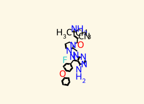 CC(C)(N)C=C(C#N)C(=O)N1CC=CN=C1Cn1nc(-c2ccc(Oc3ccccc3)cc2F)c2c(N)ncnc21